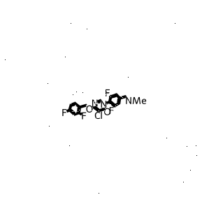 CNCc1cc(F)c(-n2cnc(OCc3ccc(F)cc3F)c(Cl)c2=O)c(F)c1